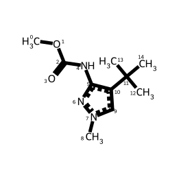 COC(=O)Nc1nn(C)cc1C(C)(C)C